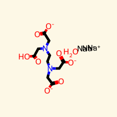 O.O=C([O-])CN(CCN(CC(=O)[O-])CC(=O)O)CC(=O)[O-].[Na+].[Na+].[Na+]